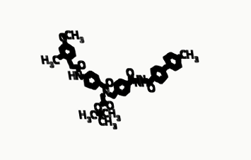 COc1ccc(CC(=O)Nc2ccc(C(=O)N(CC(=O)OC(C)(C)C)Cc3ccc(C(=O)NNC(=O)c4ccc(-c5ccc(C)cc5)cc4)cc3)cc2)c(C)c1